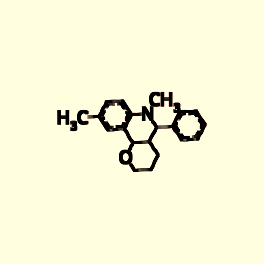 Cc1ccc2c(c1)C1OCCCC1C(c1ccccc1)N2C